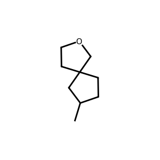 CC1CCC2(CCOC2)C1